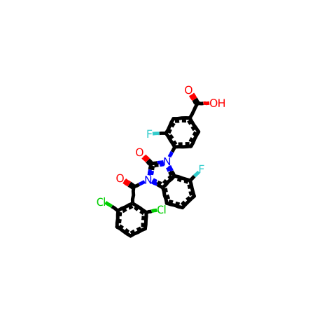 O=C(O)c1ccc(-n2c(=O)n(C(=O)c3c(Cl)cccc3Cl)c3cccc(F)c32)c(F)c1